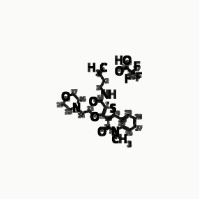 CCCCNC(=O)c1sc2c(c1OCCN1CCOCC1)c(=O)n(C)c1ccccc21.O=C(O)C(F)(F)F